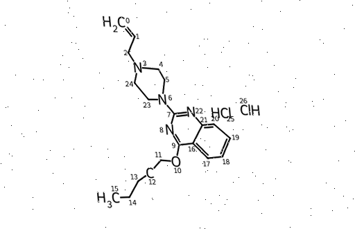 C=CCN1CCN(c2nc(OCCCCC)c3ccccc3n2)CC1.Cl.Cl